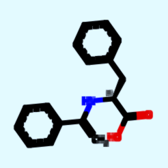 C=C(N[C@@H](Cc1ccccc1)C(=O)O)c1ccccc1